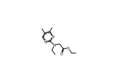 CCOC(=O)CN(CC)c1ncc(C)c(C)n1